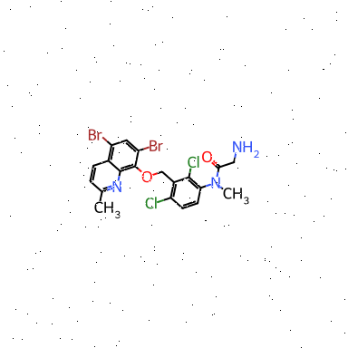 Cc1ccc2c(Br)cc(Br)c(OCc3c(Cl)ccc(N(C)C(=O)CN)c3Cl)c2n1